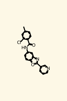 Cc1ccc(C(=O)Nc2ccc3oc(-c4cccnc4)nc3c2)c(Cl)c1